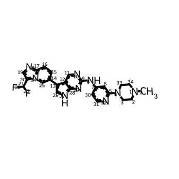 CN1CCN(c2cc(Nc3ncc4c(-c5ccc6ncc(C(F)F)n6c5)c[nH]c4n3)ccn2)CC1